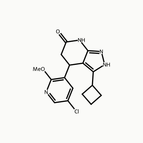 COc1ncc(Cl)cc1C1CC(=O)Nc2n[nH]c(C3CCC3)c21